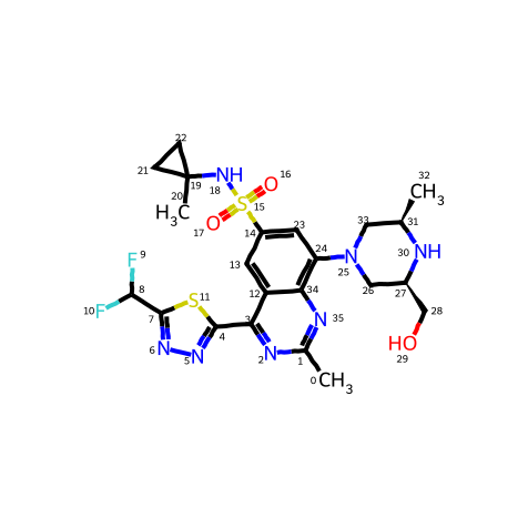 Cc1nc(-c2nnc(C(F)F)s2)c2cc(S(=O)(=O)NC3(C)CC3)cc(N3C[C@H](CO)N[C@H](C)C3)c2n1